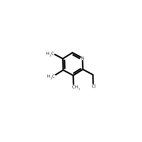 Cc1cnc(CCl)c(C)c1C